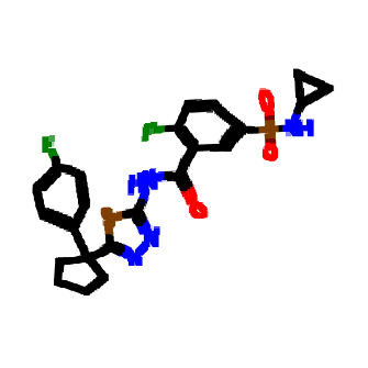 O=C(Nc1nnc(C2(c3ccc(F)cc3)CCCC2)s1)c1cc(S(=O)(=O)NC2CC2)ccc1F